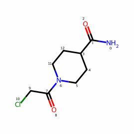 NC(=O)C1CCN(C(=O)CCl)CC1